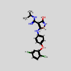 CC(C)NC(=N)c1c(O)nsc1Nc1ccc(Oc2cc(F)ccc2Cl)cc1